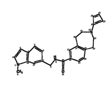 Cn1ccc2ccc(CNC(=O)c3ccc4c(c3)CCN(C3=CC=C3)CC4)cc21